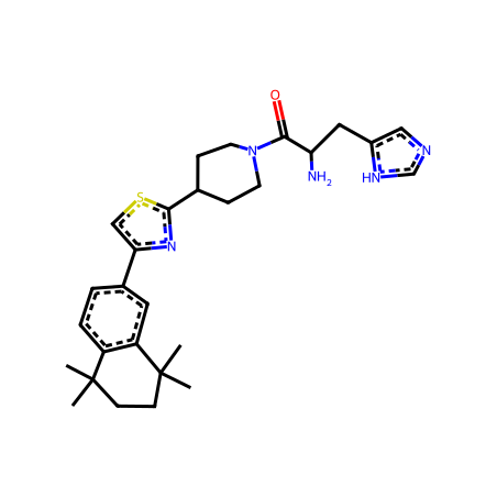 CC1(C)CCC(C)(C)c2cc(-c3csc(C4CCN(C(=O)C(N)Cc5cnc[nH]5)CC4)n3)ccc21